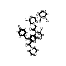 C[C@@H]1CN(CC(=O)N2c3cc(Cc4ccc(F)cc4)c(C(=O)N4CCOCC4)nc3OC[C@@H]2C)[C@@H](CN2[C@H](C)COC[C@H]2C)CN1